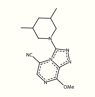 COc1ncc(C#N)n2c(N3CC(C)CC(C)C3)nnc12